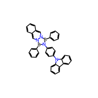 C1=c2ccccc2=CN2B(c3ccccc3)N(c3ccc(-n4c5ccccc5c5ccccc54)cc3)B(c3ccccc3)N12